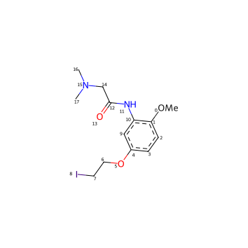 COc1ccc(OCCI)cc1NC(=O)CN(C)C